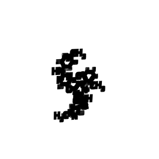 Cc1cccc(C)c1-c1cc(Oc2ccc(NC3CCN(C)CC3)nc2)nc(NS(=O)(=O)c2cnn(C)c2)n1